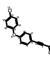 OCC#Cc1ccc(Oc2ccc(Cl)cc2)cc1